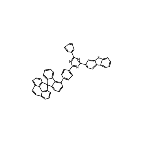 c1ccc(-c2nc(-c3ccc(-c4cccc5c4-c4ccccc4C54c5cccc6ccc7cccc4c7c56)cc3)nc(-c3ccc4c(c3)sc3ccccc34)n2)cc1